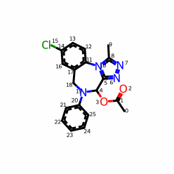 CC(=O)OC1c2nnc(C)n2-c2ccc(Cl)cc2CN1c1ccccc1